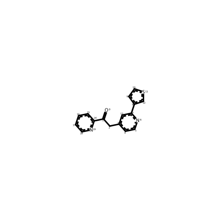 O=C(Cc1ccnc(-c2ccsc2)c1)c1ccccn1